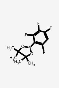 CC1(C)OB(c2c(F)cc(F)c(F)c2F)OC1(C)C